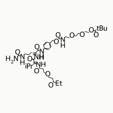 CCC(=O)CCOCCC(=O)N[C@@H](C(=O)N[C@H](CCCNC(N)=O)C(=O)Nc1ccc(COC(=O)NCCOCCOCCOC(=O)C(C)(C)C)cc1)C(C)C